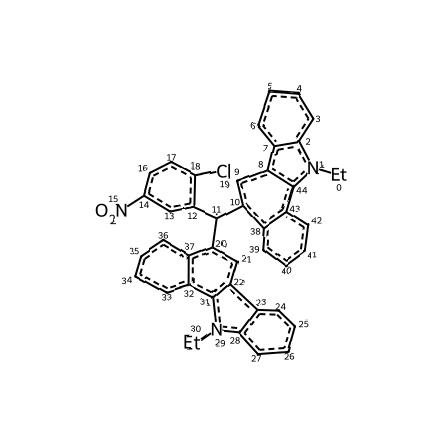 CCn1c2ccccc2c2cc([C](c3cc([N+](=O)[O-])ccc3Cl)c3cc4c5ccccc5n(CC)c4c4ccccc34)c3ccccc3c21